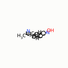 Cc1cncc(C2=CC[C@H]3[C@@H]4CCC5=C/C(=N/O)CC[C@]5(C)[C@H]4CC[C@]23C)c1